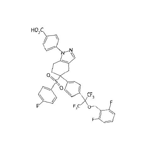 O=C(O)c1ccc(-n2ncc3c2CCC(c2ccc(C(OCc4c(F)cccc4F)(C(F)(F)F)C(F)(F)F)cc2)(S(=O)(=O)c2ccc(F)cc2)C3)cc1